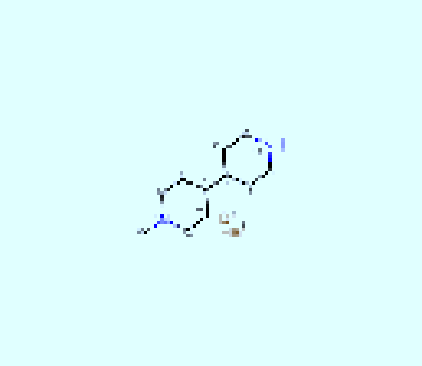 Br.Br.CN1CCC(C2CCNCC2)CC1